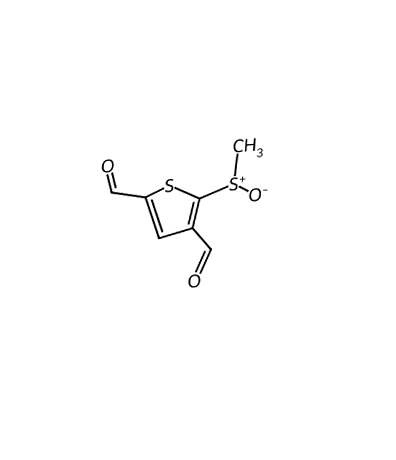 C[S+]([O-])c1sc(C=O)cc1C=O